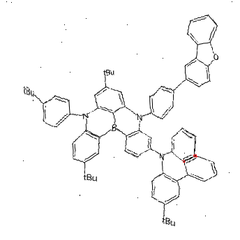 CC(C)(C)c1ccc(N2c3ccc(C(C)(C)C)cc3B3c4ccc(N(c5ccccc5)c5ccc(C(C)(C)C)cc5-c5ccccc5)cc4N(c4ccc(-c5ccc6oc7ccccc7c6c5)cc4)c4cc(C(C)(C)C)cc2c43)cc1